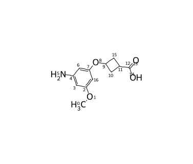 COc1cc(N)cc(OC2CC(C(=O)O)C2)c1